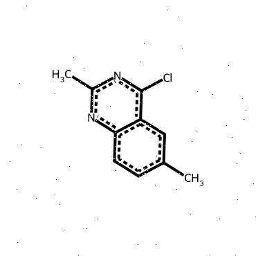 Cc1ccc2nc(C)nc(Cl)c2c1